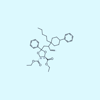 [CH]=CC(CC1(c2ccccc2)O[C@@H](C(=O)OCC)[C@H](C(=O)OCC)O1)C1(CCCCC)CCC(c2ccccc2)CC1